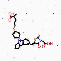 CC(CCCSc1ccc(N2c3ccc(/C=C4\SC(=S)N(CC(=O)O)C4=O)cc3C3CCCC32)cc1)C(=O)O